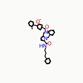 COc1cc(C(=O)N2Cc3ccc(C(=O)NCCCCc4ccccc4)n3Cc3ccccc32)ccc1-c1ccccc1C